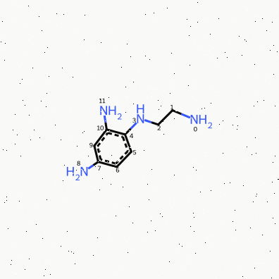 NCCNc1ccc(N)cc1N